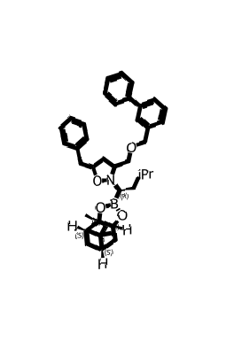 CC(C)C[C@@H](B1O[C@@H]2C[C@@H]3C[C@@H](C3(C)C)[C@]2(C)O1)N1OC(Cc2ccccc2)CC1COCc1cccc(-c2ccccc2)c1